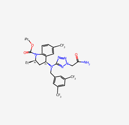 CC[C@@H]1C[C@H](N(Cc2cc(C(F)(F)F)cc(C(F)(F)F)c2)c2nnn(CC(N)=O)n2)c2cc(C(F)(F)F)ccc2N1C(=O)OC(C)C